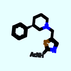 CC(=O)Nc1ncc(CN2CCC[C@@H](c3ccccc3)C2)s1